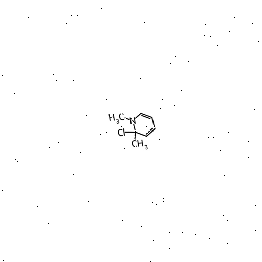 CN1C=CC=CC1(C)Cl